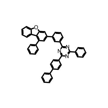 c1ccc(-c2ccc(-c3nc(-c4ccccc4)nc(-c4cccc(-c5cc(-c6ccccc6)c6c(c5)oc5ccccc56)c4)n3)cc2)cc1